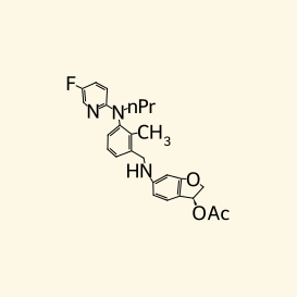 CCCN(c1ccc(F)cn1)c1cccc(CNc2ccc3c(c2)OC[C@H]3OC(C)=O)c1C